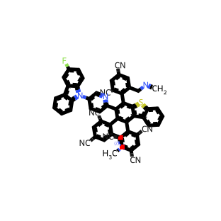 C=NCc1cc(C#N)cc(C#N)c1-c1c(-c2ccc(-n3c4ccccc4c4cc(F)ccc43)cn2)c(-c2c(C#N)cc(C#N)cc2/C=N\C)c(-c2c(C#N)cc(C#N)cc2C#N)c2c1sc1ccccc12